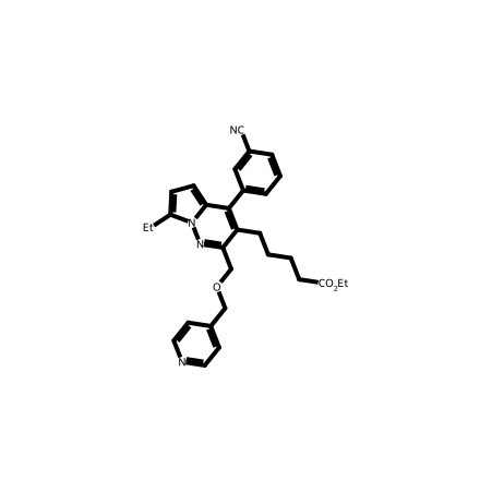 CCOC(=O)CCCCc1c(COCc2ccncc2)nn2c(CC)ccc2c1-c1cccc(C#N)c1